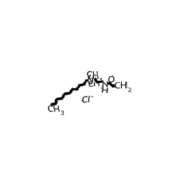 C=CC(=O)NCCC[N+](C)(C)CCCCCCCCCCCC.[Cl-]